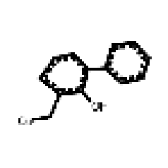 Oc1c([CH2][Cu])cccc1-c1ccccc1